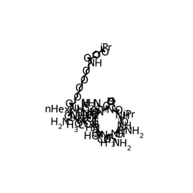 CCCCCC[C@H](NC(=O)CCOCCOCCOCCOCCNC(=O)c1ccc(C(=O)C(C)C)cc1)C(=O)N[C@@H](CCN)C(=O)N[C@H](C(=O)N[C@@H](CCN)C(=O)N[C@H]1CCNC(=O)[C@H]([C@@H](C)O)NC(=O)[C@H](CCN)NC(=O)[C@H](CCN)NC(=O)[C@H](CC(C)C)NC(=O)[C@@H](Cc2ccccc2)NC(=O)[C@H](CCN)NC1=O)[C@@H](C)O